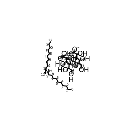 CCCCCCCCCC[N+](C)(C)CCCCCCCCCC.O=C(O)[C@H](O)[C@@H](O)[C@H](O)[C@H](O)CO.O=C([O-])[C@H](O)[C@@H](O)[C@H](O)[C@H](O)CO